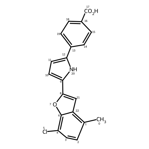 Cc1ccc(Cl)c2oc(-c3ccc(-c4ccc(C(=O)O)cc4)[nH]3)cc12